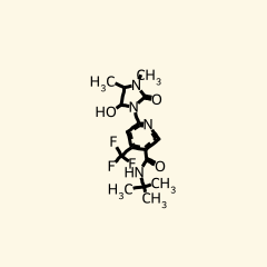 CC1C(O)N(c2cc(C(F)(F)F)c(C(=O)NC(C)(C)C)cn2)C(=O)N1C